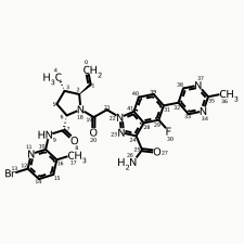 C=C[C@@H]1[C@@H](C)C[C@@H](C(=O)Nc2nc(Br)ccc2C)N1C(=O)Cn1nc(C(N)=O)c2c(F)c(-c3cnc(C)nc3)ccc21